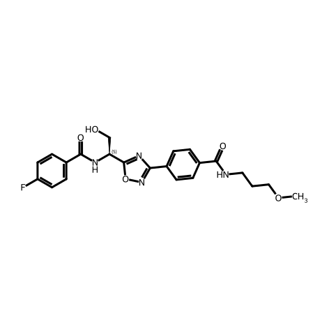 COCCCNC(=O)c1ccc(-c2noc([C@H](CO)NC(=O)c3ccc(F)cc3)n2)cc1